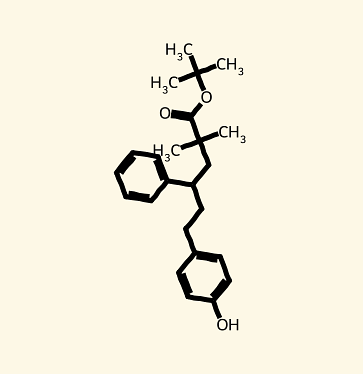 CC(C)(C)OC(=O)C(C)(C)CC(CCc1ccc(O)cc1)c1ccccc1